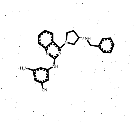 N#Cc1cc(N)cc(Nc2nc(N3CC[C@H](NCc4ccccc4)C3)c3ccccc3n2)c1